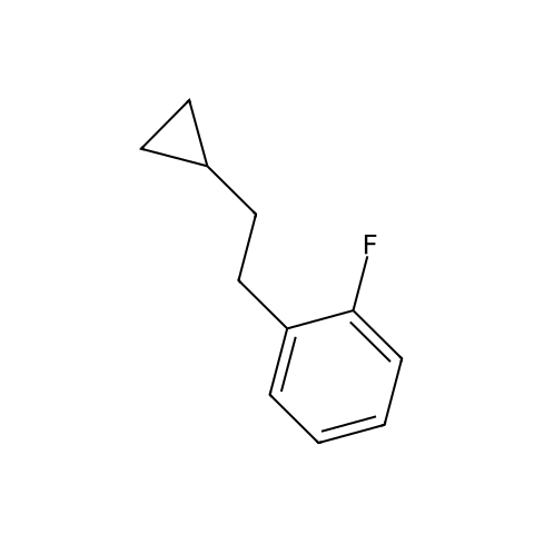 Fc1ccccc1CCC1CC1